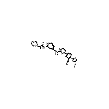 N#Cc1cc(-c2ccnc(Nc3ccnc(NC(=O)CN4CCOCC4)c3)n2)cnc1N1CC[C@@H](F)C1